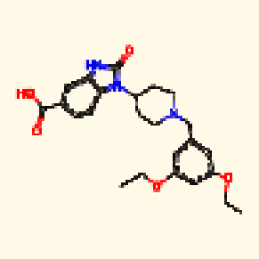 CCOc1cc(CN2CCC(n3c(=O)[nH]c4cc(C(=O)O)ccc43)CC2)cc(OCC)c1